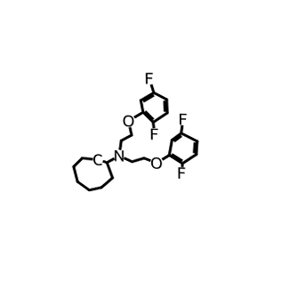 Fc1ccc(F)c(OCCN(CCOc2cc(F)ccc2F)C2CCCCCCC2)c1